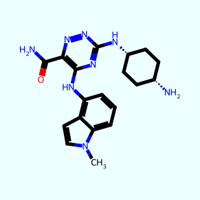 Cn1ccc2c(Nc3nc(N[C@H]4CC[C@@H](N)CC4)nnc3C(N)=O)cccc21